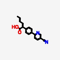 CC=CC=C(C(=O)O)c1ccc(-c2ccc(C#N)cn2)cc1